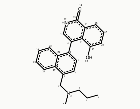 CCCN(C)Cc1ccc(-c2c[nH]c(=O)c3cccc(O)c23)c2ccccc12